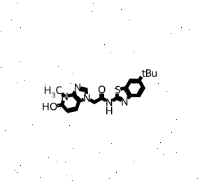 CN1c2ncn(CC(=O)Nc3nc4ccc(C(C)(C)C)cc4s3)c2C=CC1O